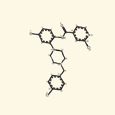 O=C(Nc1ccc(Cl)cc1N1CCN(Cc2ccc(Cl)cc2)CC1)c1ccnc(Cl)c1